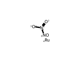 O=N[N+](=O)[O-].[Ru]